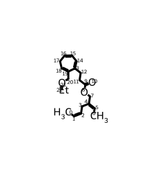 C/C=C\C/C(=C\C)COC(=O)CCC1=CC=CCC=C1COCC